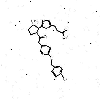 CC1CCN(C(=O)Cc2ccc(OCc3ccc(Cl)cc3)cc2)C1c1ncc(CCC(=O)O)s1